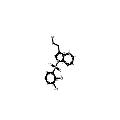 NCCc1cn(S(=O)(=O)c2cccc(Cl)c2Cl)c2cccnc12